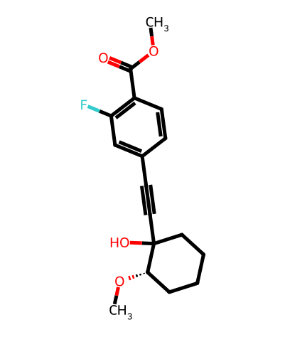 COC(=O)c1ccc(C#CC2(O)CCCC[C@@H]2OC)cc1F